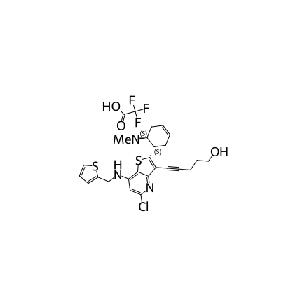 CN[C@H]1CC=CC[C@@H]1c1sc2c(NCc3cccs3)cc(Cl)nc2c1C#CCCCO.O=C(O)C(F)(F)F